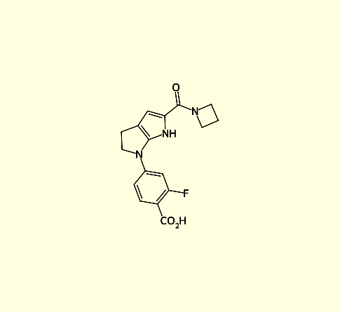 O=C(O)c1ccc(N2CCc3cc(C(=O)N4CCC4)[nH]c32)cc1F